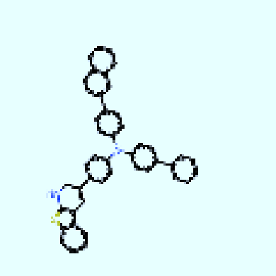 C1=C(c2ccc(N(c3ccc(-c4ccccc4)cc3)c3ccc(-c4ccc5ccccc5c4)cc3)cc2)CNc2sc3ccccc3c21